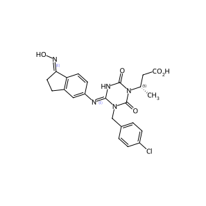 C[C@@H](CC(=O)O)n1c(=O)[nH]/c(=N\c2ccc3c(c2)CC/C3=N\O)n(Cc2ccc(Cl)cc2)c1=O